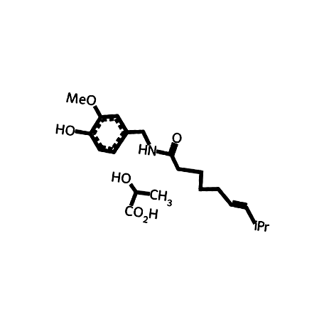 CC(O)C(=O)O.COc1cc(CNC(=O)CCCC/C=C/C(C)C)ccc1O